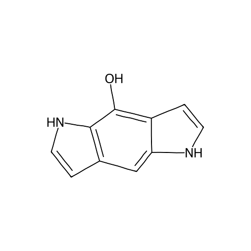 Oc1c2cc[nH]c2cc2cc[nH]c12